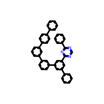 c1ccc(-c2ccc(-c3cccc(-c4cccc(-c5cc(-c6ccccc6)cc(-c6ncnc(-c7ccccc7)n6)c5)c4)c3)cc2)cc1